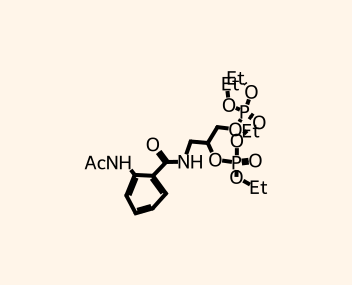 CCOP(=O)(OCC)OCC(CNC(=O)c1ccccc1NC(C)=O)OP(=O)(OCC)OCC